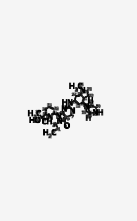 C=CCn1c(=O)c2cnc(Nc3cc(N4C[C@@H]5C[C@H]4CN5)c4ccn(C)c4c3)nc2n1-c1cccc(C(C)(C)O)n1